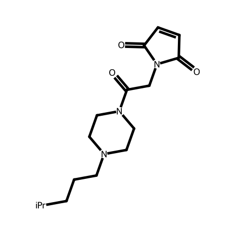 CC(C)CCCN1CCN(C(=O)CN2C(=O)C=CC2=O)CC1